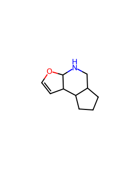 C1=CC2C(NCC3CCCC32)O1